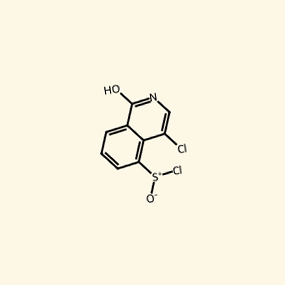 [O-][S+](Cl)c1cccc2c(O)ncc(Cl)c12